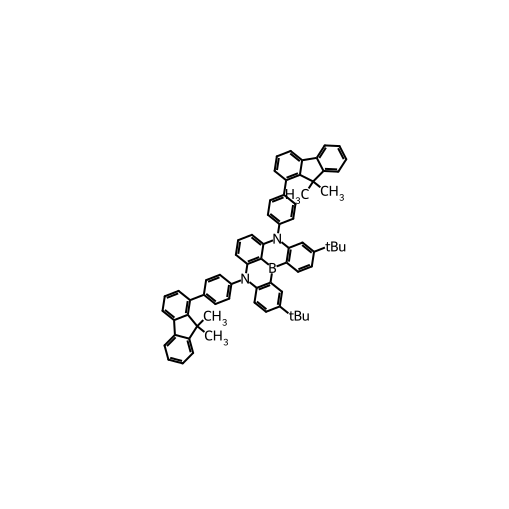 CC(C)(C)c1ccc2c(c1)B1c3ccc(C(C)(C)C)cc3N(c3ccc(-c4cccc5c4C(C)(C)c4ccccc4-5)cc3)c3cccc(c31)N2c1ccc(-c2cccc3c2C(C)(C)c2ccccc2-3)cc1